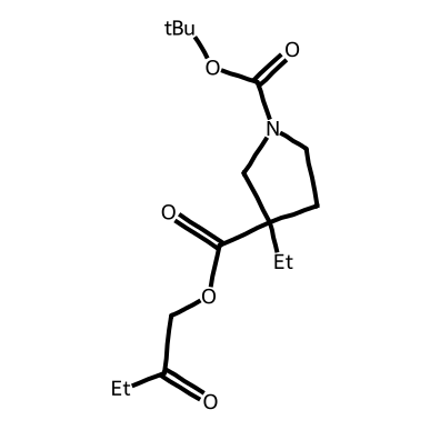 CCC(=O)COC(=O)C1(CC)CCN(C(=O)OC(C)(C)C)C1